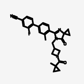 Cc1cc(-c2ccc(C#N)cc2F)ccc1C1=NC2(CC2)C(=O)N1CC1CN(C(=O)C2(C)CC2)C1